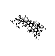 CCOC(=O)C(C)(/N=N/c1ccc2c(c1O)C(=O)C1=C(O)[C@@]3(O)C(=O)C(C(N)=O)=C(O)[C@@H](N(C)C)[C@H]3[C@H](O)[C@H]1[C@@H]2C)C(=O)OCC